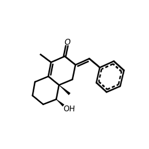 CC1=C2CCC[C@H](O)[C@@]2(C)CC(=Cc2ccccc2)C1=O